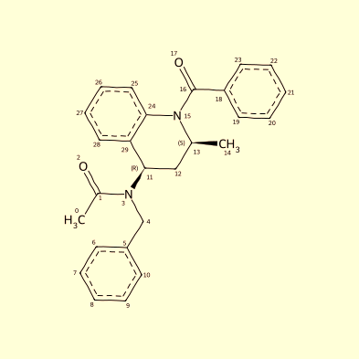 CC(=O)N(Cc1ccccc1)[C@@H]1C[C@H](C)N(C(=O)c2ccccc2)c2ccccc21